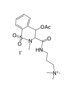 CC(=O)OC1c2ccccc2S(=O)(=O)N(C)C1C(=O)NCCC[N+](C)(C)C.[I-]